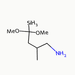 COC([SiH3])(CC(C)CN)OC